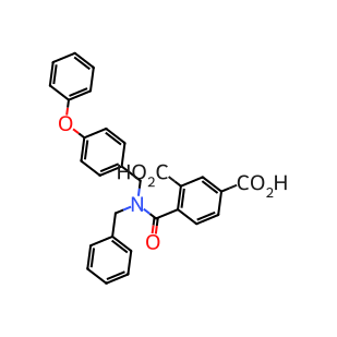 O=C(O)c1ccc(C(=O)N(Cc2ccccc2)Cc2ccc(Oc3ccccc3)cc2)c(C(=O)O)c1